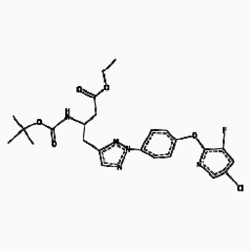 CCOC(=O)CC(Cc1cnn(-c2ccc(Oc3ncc(Cl)cc3F)cc2)n1)NC(=O)OC(C)(C)C